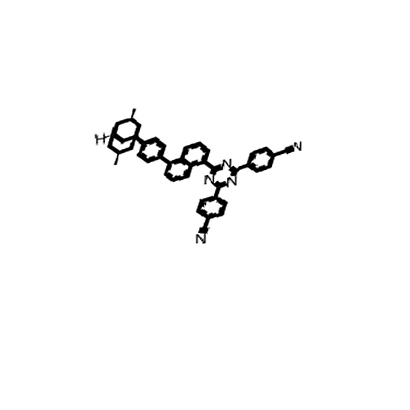 C[C@@H]1C[C@@H]2C[C@H](C)CC(c3ccc(-c4cccc5c(-c6nc(-c7ccc(C#N)cc7)nc(-c7ccc(C#N)cc7)n6)cccc45)cc3)(C1)C2